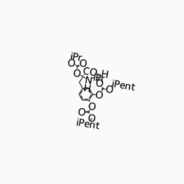 CCCC(C)OC(=O)Oc1ccc(C[C@](NC(C)C)(OC(=O)OC(C)C)C(=O)O)cc1OC(=O)OC(C)CCC